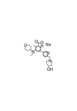 CCN(c1cc(-c2ccc(CN3CCC(O)CC3)nc2)cc(C(=O)O)c1C)C1CCOCC1.[Na]